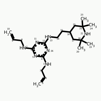 C=CCNc1nc(NCC=C)nc(NCCC2CC(C)(C)NC(C)(C)C2)n1